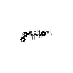 Nc1ccc(C(=O)NCC(=O)Nc2nc(-c3ccnc(-c4ccncc4)c3)cs2)cc1